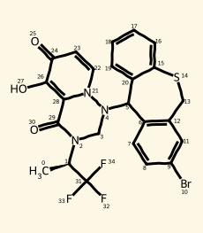 C[C@@H](N1CN(C2c3ccc(Br)cc3CSc3ccccc32)n2ccc(=O)c(O)c2C1=O)C(F)(F)F